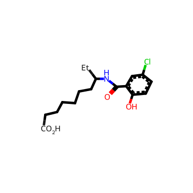 CCC(CCCCCCC(=O)O)NC(=O)c1cc(Cl)ccc1O